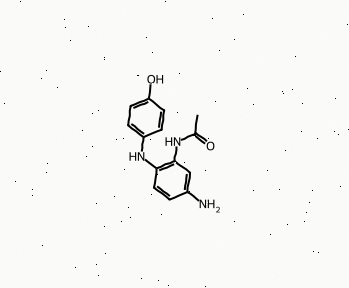 CC(=O)Nc1cc(N)ccc1Nc1ccc(O)cc1